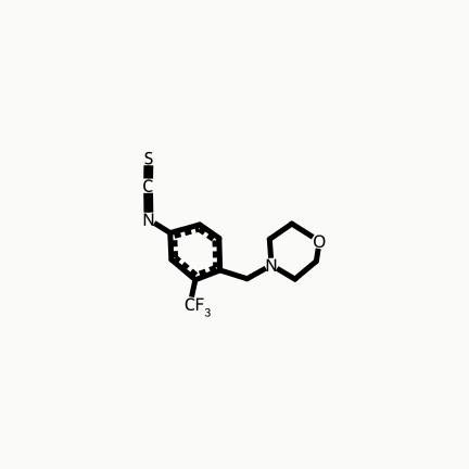 FC(F)(F)c1cc(N=C=S)ccc1CN1CCOCC1